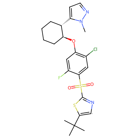 Cn1nccc1[C@H]1CCCC[C@@H]1Oc1cc(F)c(S(=O)(=O)c2n[c]c(C(C)(C)C)s2)cc1Cl